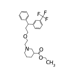 CCOC(=O)C1CCCN(CCOCCC(c2ccccc2)c2cccc(C(F)(F)F)c2)C1